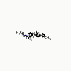 C=N/N=C\C=C(/C)N1CCc2nc(-c3ccc(N4CCC(C)C4)nc3I)sc2C1=O